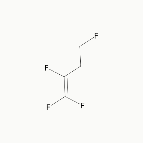 FCCC(F)=C(F)F